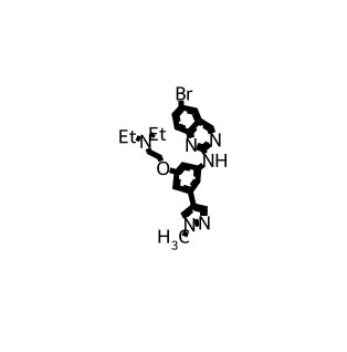 CCN(CC)CCOc1cc(Nc2ncc3cc(Br)ccc3n2)cc(-c2cnn(C)c2)c1